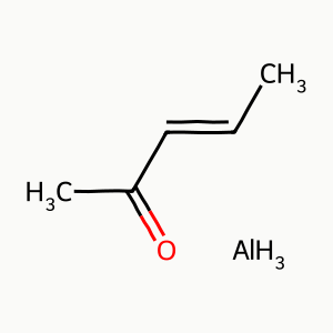 CC=CC(C)=O.[AlH3]